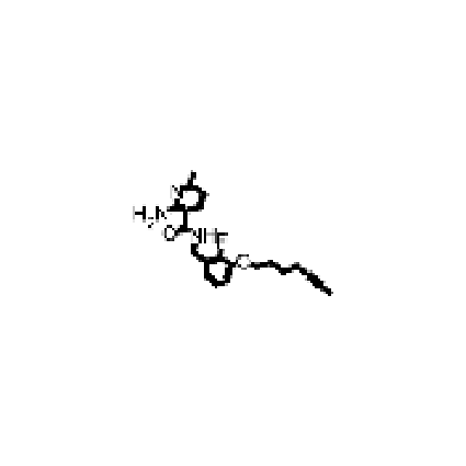 CC#CCCCCOc1cccc(CNC(=O)c2ccc(C)nc2N)c1F